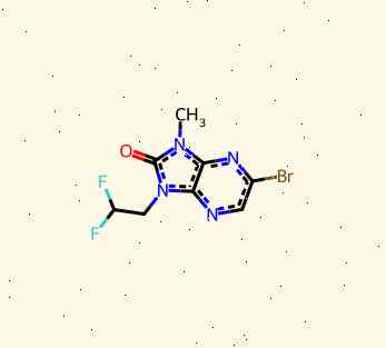 Cn1c(=O)n(CC(F)F)c2ncc(Br)nc21